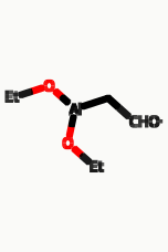 CC[O][Al]([CH2][C]=O)[O]CC